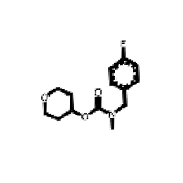 CN(Cc1ccc(F)cc1)C(=O)OC1CCOCC1